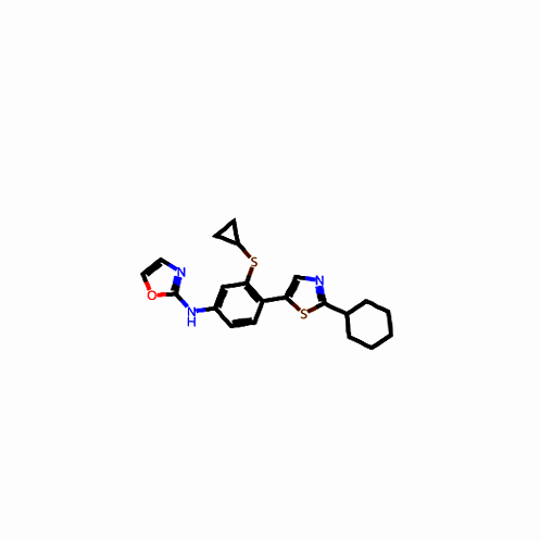 c1coc(Nc2ccc(-c3cnc(C4CCCCC4)s3)c(SC3CC3)c2)n1